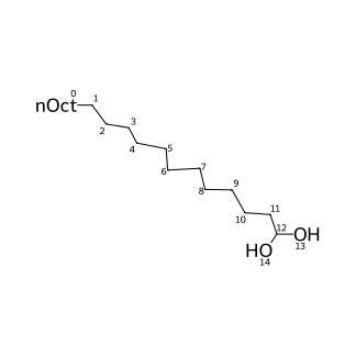 CCCCCCCCCCCCCCCCCCCC(O)O